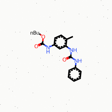 CCCCOC(=O)Nc1ccc(C)c(NC(=O)Nc2ccccc2)c1